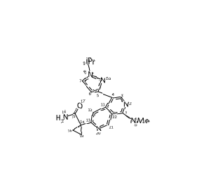 CNc1ncc(-c2ccn(C(C)C)n2)c2cc(C3(C(N)=O)CC3)ncc12